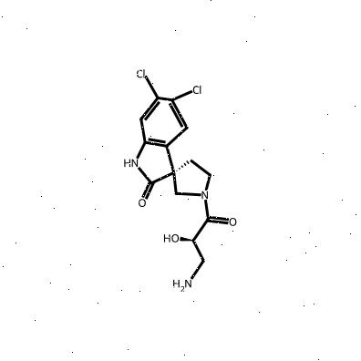 NC[C@@H](O)C(=O)N1CC[C@]2(C1)C(=O)Nc1cc(Cl)c(Cl)cc12